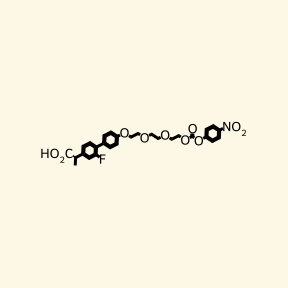 C[C@@H](C(=O)O)c1ccc(-c2ccc(OCCOCCOCCOC(=O)Oc3ccc([N+](=O)[O-])cc3)cc2)c(F)c1